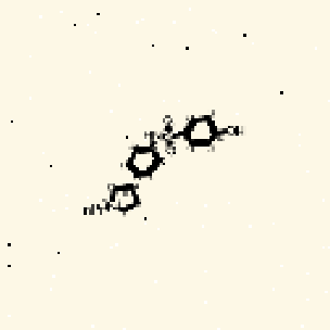 CCCN1CC[C@@H](c2ccc(NS(=O)(=O)c3ccc(O)cc3)cc2)C1